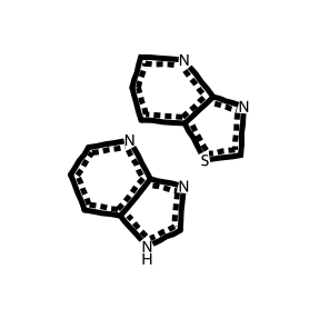 c1cnc2nc[nH]c2c1.c1cnc2ncsc2c1